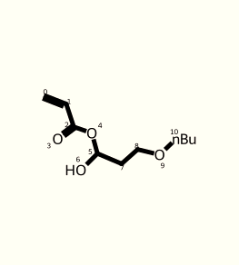 C=CC(=O)OC(O)CCOCCCC